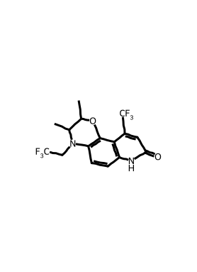 CC1Oc2c(ccc3[nH]c(=O)cc(C(F)(F)F)c23)N(CC(F)(F)F)C1C